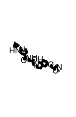 O=C(NCC(O)CN1CCc2cc(OCc3cnco3)ccc2C1)c1ccnc(NC2CCC2)c1